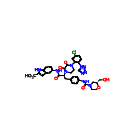 O=C(O)c1cc2cc(NC(=O)[C@H](Cc3ccc(NC(=O)N4CCO[C@@H](CO)C4)cc3)N3CCN(c4cc(Cl)ccc4-n4cnnn4)C(=O)C3=O)ccc2[nH]1